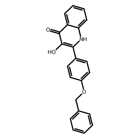 O=c1c(O)c(-c2ccc(OCc3ccccc3)cc2)[nH]c2ccccc12